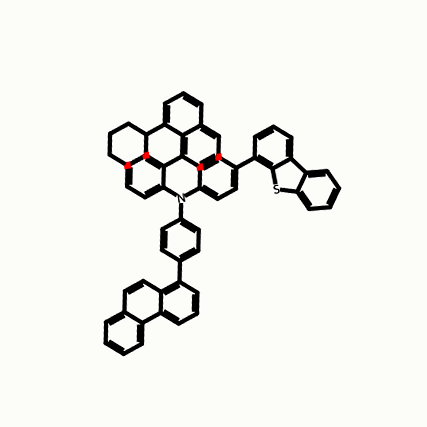 c1ccc(N(c2ccc(-c3cccc4c3ccc3ccccc34)cc2)c2ccc(-c3cccc4c3sc3ccccc34)cc2)c(-c2cccc3cccc(C4CCCCC4)c23)c1